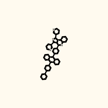 c1ccc(-c2ccc(-c3c4ccccc4c(-c4ccc(-c5nc6ccccc6c6c(-c7cccnc7)sc(-c7cccnc7)c56)cc4)c4ccccc34)cc2)cc1